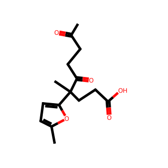 CC(=O)CCC(=O)C(C)(CCC(=O)O)c1ccc(C)o1